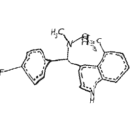 Cc1cccc2[nH]cc(C(c3ccc(F)cc3)N(C)C)c12